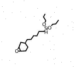 CCCO[SiH](CCCCCCC1CCC2OC2C1)OCCC